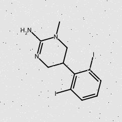 CN1CC(c2c(I)cccc2I)CN=C1N